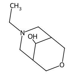 CCN1CC2COCC(C1)C2O